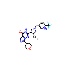 CC1CN(CC2=CNC(C(F)(F)F)C=C2)CC1c1nn2c(C3CCOCC3)ncc2c(=O)[nH]1